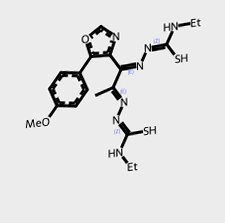 CCN/C(S)=N/N=C(C)/C(=N/N=C(\S)NCC)c1ncoc1-c1ccc(OC)cc1